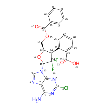 Nc1nc(Cl)nc2c1ncn2[C@@H]1O[C@@H](COC(=O)c2ccccc2)[C@@H](c2ccccc2C(=O)O)C1(F)F